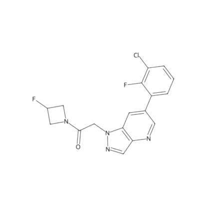 O=C(Cn1ncc2ncc(-c3cccc(Cl)c3F)cc21)N1CC(F)C1